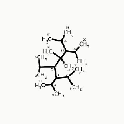 CC(C)[C](C(C(C)C)C(C)C)C(C)(C)C(C(C)C)C(C)C